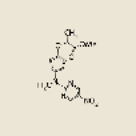 COC(=O)C(C)Oc1ccc(N(C)c2ncc([N+](=O)[O-])cn2)cc1